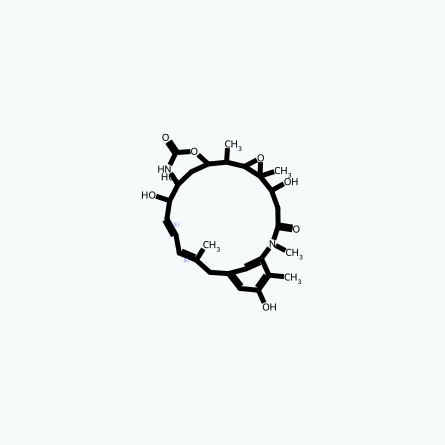 C/C1=C\C=C\C(O)C2(O)CC(OC(=O)N2)C(C)C2OC2(C)C(O)CC(=O)N(C)c2cc(cc(O)c2C)C1